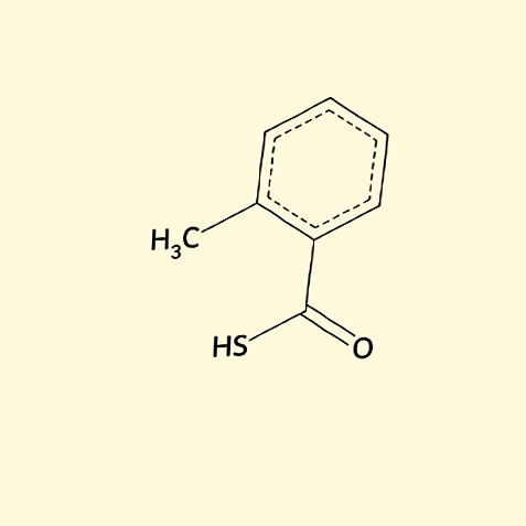 Cc1ccccc1C(=O)S